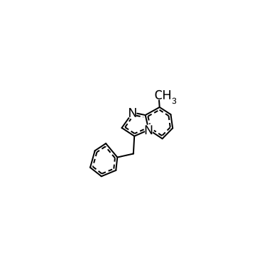 Cc1cccn2c(Cc3ccccc3)cnc12